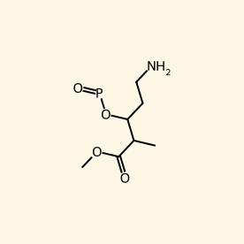 COC(=O)C(C)C(CCN)OP=O